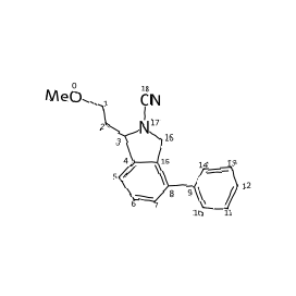 COCCC1c2cccc(-c3ccccc3)c2CN1C#N